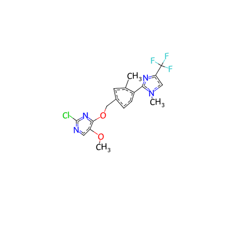 COc1cnc(Cl)nc1OCc1ccc(-c2nc(C(F)(F)F)cn2C)c(C)c1